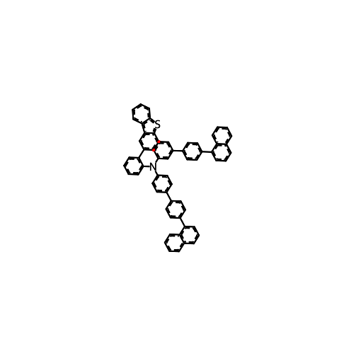 c1cc(-c2ccc(-c3cccc4ccccc34)cc2)cc(N(c2ccc(-c3ccc(-c4cccc5ccccc45)cc3)cc2)c2ccccc2-c2ccc3sc4ccccc4c3c2)c1